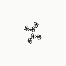 C=C(C)C(=O)O/C=C/Oc1ccc(-c2ccc(O/C=C/OC(=O)C(=C)C)c(O/C=C/OC(=O)C(C)(C)C)c2)cc1O/C=C/OC(=O)C(=C)C